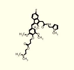 COc1cc(C=C2C(C)=C(CC(=O)NCc3cccn3C)c3cc(F)ccc32)cc(OC)c1OCCC(=O)OCCN(C)C